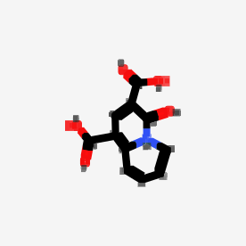 O=C(O)c1cc(C(=O)O)c2ccccn2c1=O